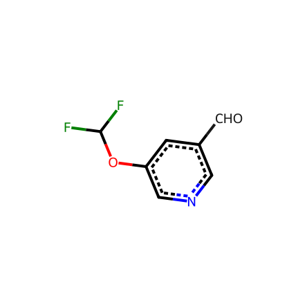 O=Cc1cncc(OC(F)F)c1